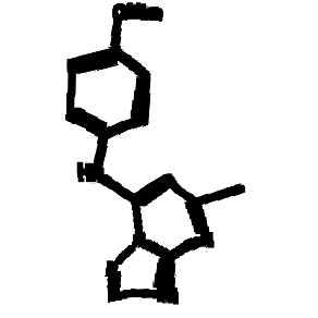 COc1ccc(Nc2cc(C)nc3ncnn23)cc1